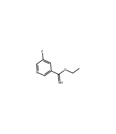 CCOC(=N)c1cncc(F)c1